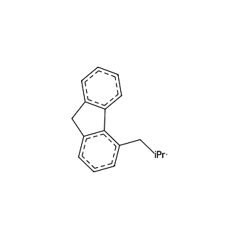 C[C](C)Cc1cccc2c1-c1ccccc1C2